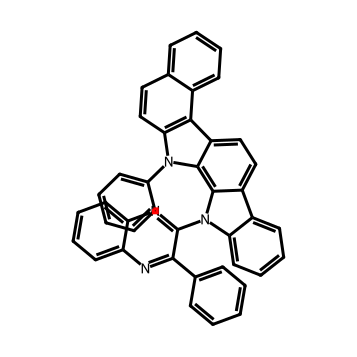 c1ccc(-c2nc3ccccc3nc2-n2c3ccccc3c3ccc4c5c6ccccc6ccc5n(-c5ccccc5)c4c32)cc1